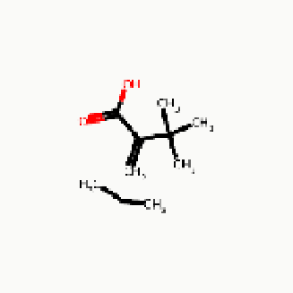 C=C(C(=O)O)C(C)(C)C.CCC